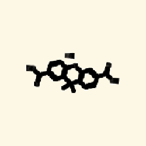 CC1(C)c2ccc(C(=O)O)cc2Oc2ccc(C(=O)O)cc21.Cl